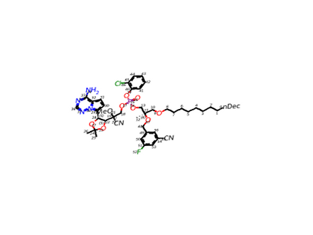 CCCCCCCCCCCCCCCCCCOC[C@](C)(COP(=O)(OC[C@@](C#N)(OC)[C@H]1OC(C)(C)O[C@H]1c1ccc2c(N)ncnn12)Oc1ccccc1Cl)OCc1cc(F)cc(C#N)c1